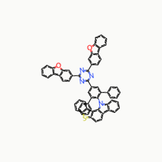 c1ccc(-c2cc(-c3nc(-c4ccc5c(c4)oc4ccccc45)nc(-c4ccc5c(c4)oc4ccccc45)n3)cc(-c3ccccc3)c2-n2c3ccccc3c3ccc4sc5ccccc5c4c32)cc1